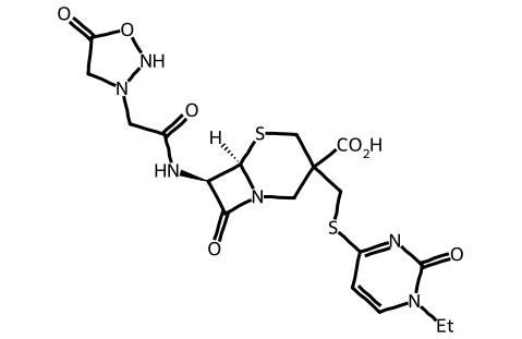 CCn1ccc(SCC2(C(=O)O)CS[C@@H]3[C@H](NC(=O)CN4CC(=O)ON4)C(=O)N3C2)nc1=O